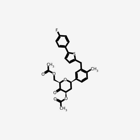 CC(=O)OC[C@H]1O[C@@H](c2ccc(C)c(Cc3ccc(-c4ccc(F)cc4)s3)c2)C[C@@H](OC(C)=O)C1=O